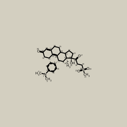 CN(C)c1ccc([C@H]2C[C@@]3(C)C(CC[C@]3(O)C(=O)CCS(C)(=O)=O)C3CCC4=CC(=O)CCC4=C32)cc1